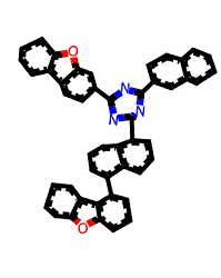 c1ccc2cc(-c3nc(-c4ccc5c(c4)oc4ccccc45)nc(-c4cccc5c(-c6cccc7oc8ccccc8c67)cccc45)n3)ccc2c1